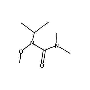 CON(C(=O)N(C)C)C(C)C